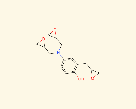 Oc1ccc(N(CC2CO2)CC2CO2)cc1CC1CO1